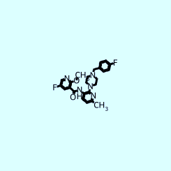 COc1ncc(F)cc1C(=O)Nc1ccc(C)nc1N1CCN(Cc2ccc(F)cc2)CC1